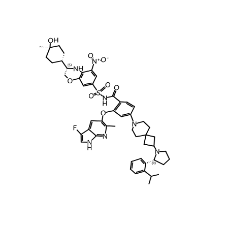 Cc1nc2[nH]cc(F)c2cc1Oc1cc(N2CCC3(CC2)CC(N2CCC[C@@H]2c2ccccc2C(C)C)C3)ccc1C(=O)NS(=O)(=O)c1cc2c(c([N+](=O)[O-])c1)N[C@@H]([C@H]1CC[C@](C)(O)CC1)CO2